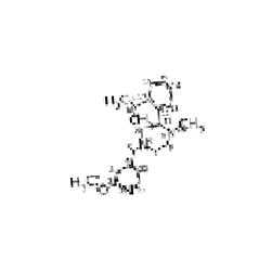 COc1cc(CN2CCN(C)C(c3ccccc3C(C)C)C2)ccn1